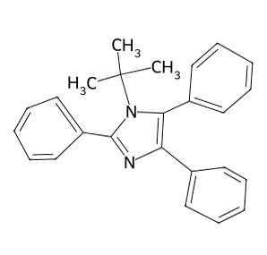 CC(C)(C)n1c(-c2ccccc2)nc(-c2ccccc2)c1-c1ccccc1